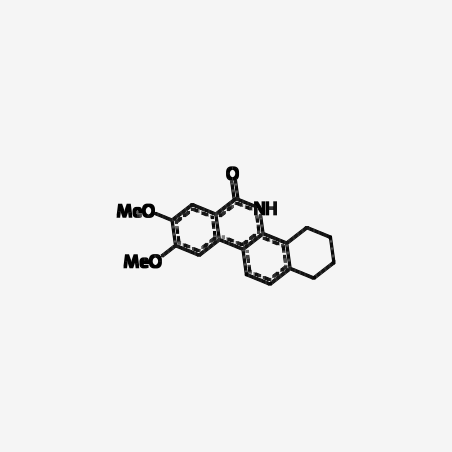 COc1cc2c(=O)[nH]c3c4c(ccc3c2cc1OC)CCCC4